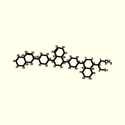 CCC(CI)C1CCC(C2CCC(C3CCC(C4CCC(C5C=CC6CCCCC6C5)CC4)C4C=CCCC43)CC2)C2CCCCC12